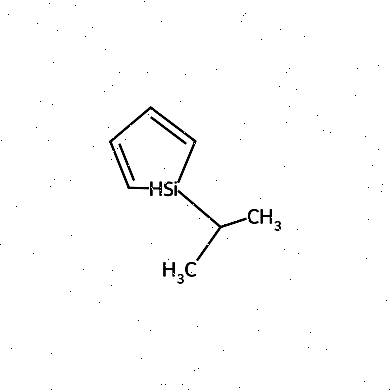 CC(C)[SiH]1C=CC=C1